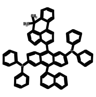 CC1(C)c2ccccc2-c2ccc(-c3c4ccc(N(c5ccccc5)c5ccccc5)cc4c(-c4cccc5ccccc45)c4ccc(N(c5ccccc5)c5ccccc5)cc34)c3cccc1c23